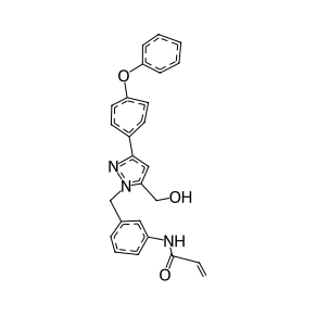 C=CC(=O)Nc1cccc(Cn2nc(-c3ccc(Oc4ccccc4)cc3)cc2CO)c1